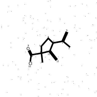 C=C(C)C1CCC(C)(C(=O)Cl)C1=C